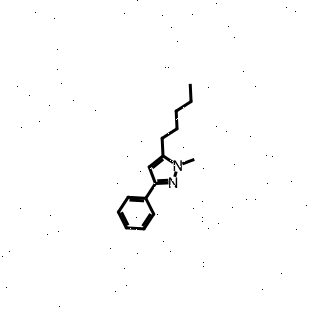 CCCCCc1cc(-c2ccccc2)nn1C